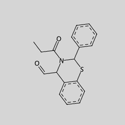 CCC(=O)N1C(C=O)c2ccccc2SC1c1ccccc1